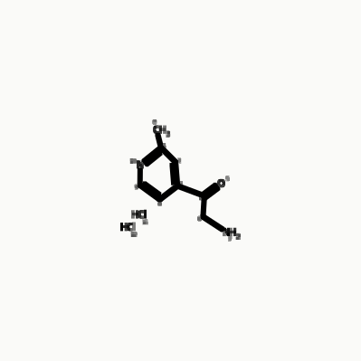 Cc1cc(C(=O)CN)ccn1.Cl.Cl